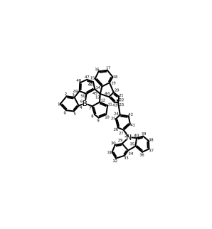 c1ccc2c(c1)B1c3ccccc3C3(c4ccccc4-c4ccc(-c5ccc(-n6c7ccccc7c7ccccc76)cc5)cc43)c3cccc-2c31